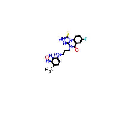 Cc1ccc(NCCCn2c(=O)c3cc(F)ccc3n3c(=S)[nH]nc23)c2nonc12